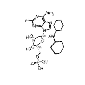 C1CCC(NC2CCCCC2)CC1.Nc1nc(F)nc2c1ncn2[C@@H]1O[C@H](COP(=O)(O)O)[C@@H](O)[C@@H]1O